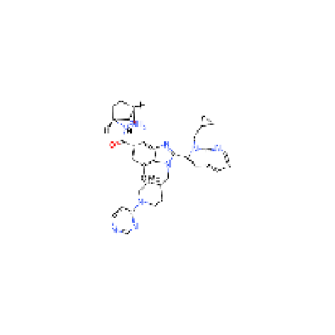 COc1cc(C(=O)N2C[C@H]3CC[C@@H]2[C@@H]3N)cc2nc(-c3cc4cccnc4n3CC3CC3)n(CC3CCN(c4ccncn4)CC3)c12